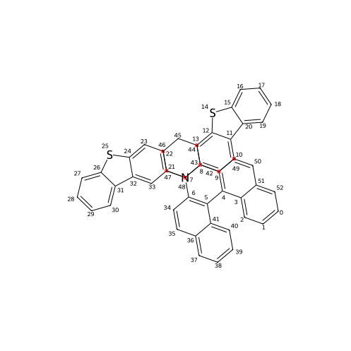 c1ccc2c(-c3c(N(c4ccc5c(c4)sc4ccccc45)c4ccc5sc6ccccc6c5c4)ccc4ccccc34)c(C3CCCCC3)ccc2c1